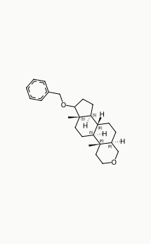 C[C@]12CCOC[C@@H]1CC[C@@H]1[C@@H]2CC[C@]2(C)C(OCc3ccccc3)CC[C@@H]12